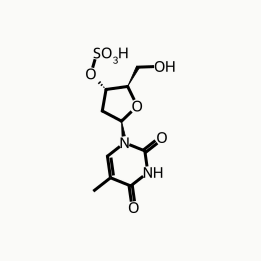 Cc1cn([C@H]2C[C@H](OS(=O)(=O)O)[C@@H](CO)O2)c(=O)[nH]c1=O